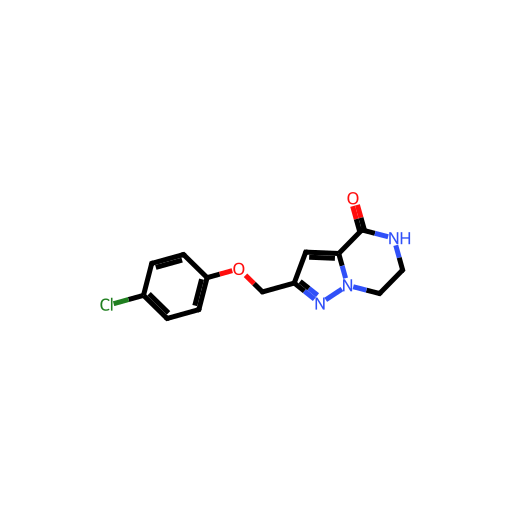 O=C1NCCn2nc(COc3ccc(Cl)cc3)cc21